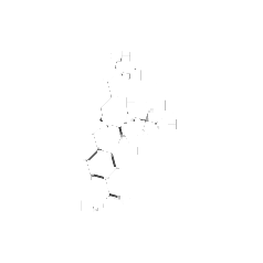 CN(C)CCCN(Cc1ccc(C(=O)O)cc1)C(=O)NC(C)(C)C